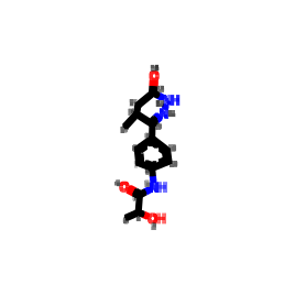 CC(O)C(=O)Nc1ccc(C2=NNC(=O)CC2C)cc1